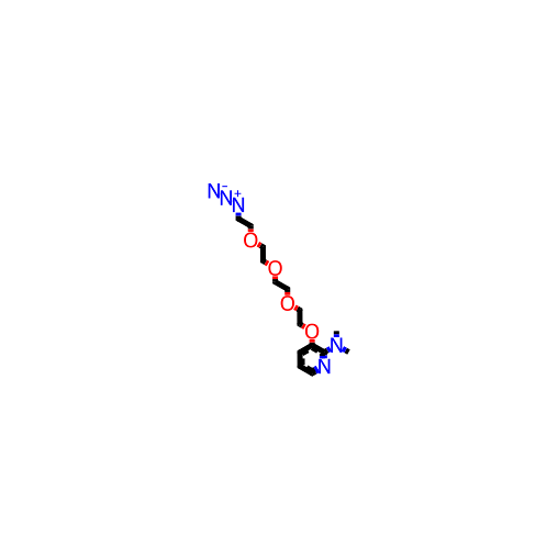 CN(C)c1ncccc1OCCOCCOCCOCCN=[N+]=[N-]